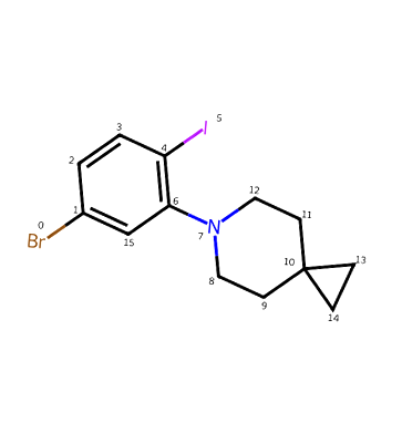 Brc1ccc(I)c(N2CCC3(CC2)CC3)c1